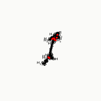 CCOc1cc(C(C)(C)C)ccc1C1=N[C@@](C)(c2ccc(Cl)cc2)[C@@](C)(c2ccc(Cl)cc2)N1C(=O)N1CCN(CC(=O)NCCOCCOCCOCC(=O)N[C@H](C(=O)N2C[C@H](O)C[C@H]2C(=O)NCc2ccc(-c3scnc3C)cc2)C(C)(C)C)CC1